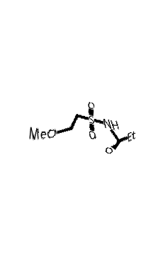 CCC(=O)NS(=O)(=O)CCOC